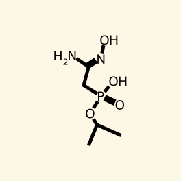 CC(C)OP(=O)(O)CC(N)=NO